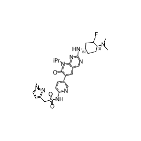 CC(C)n1c(=O)c(-c2ccc(NS(=O)(=O)Cc3ccn(C)n3)nc2)cc2cnc(N[C@H]3CC[C@H](N(C)C)C(F)C3)nc21